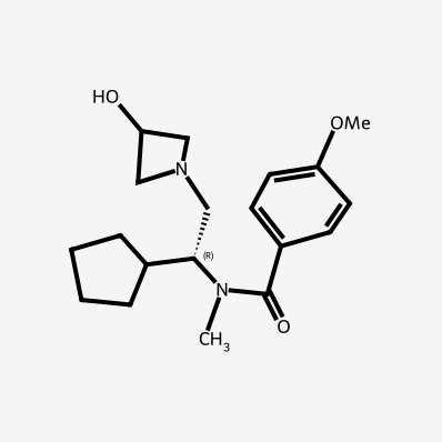 COc1ccc(C(=O)N(C)[C@@H](CN2CC(O)C2)C2CCCC2)cc1